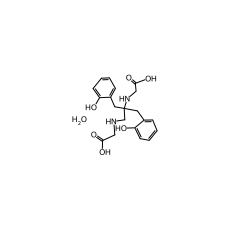 O.O=C(O)CNCC(Cc1ccccc1O)(Cc1ccccc1O)NCC(=O)O